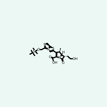 C[C@@H]1C(c2cn3c(CO[Si](C)(C)C(C)(C)C)ncc3s2)=C(C(=O)O)N2C(=O)[C@@H](CCO)[C@@H]12